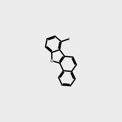 Ic1cccc2oc3c4ccccc4ccc3c12